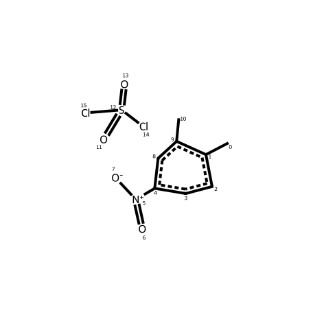 Cc1ccc([N+](=O)[O-])cc1C.O=S(=O)(Cl)Cl